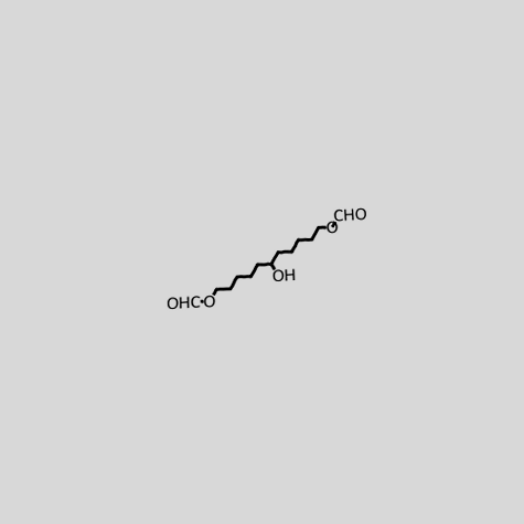 O=COCCCCCC(O)CCCCCOC=O